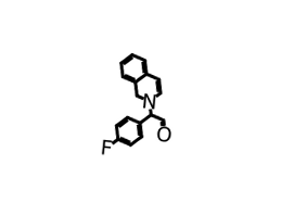 O=CC(c1ccc(F)cc1)N1C=Cc2ccccc2C1